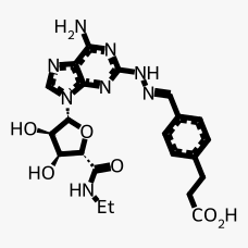 CCNC(=O)[C@H]1O[C@@H](n2cnc3c(N)nc(N/N=C/c4ccc(CCC(=O)O)cc4)nc32)[C@H](O)[C@@H]1O